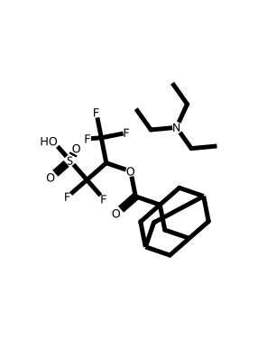 CCN(CC)CC.O=C(OC(C(F)(F)F)C(F)(F)S(=O)(=O)O)C12CC3CC(CC(C3)C1)C2